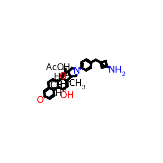 CC(=O)OCC(=O)[C@@]12CN(c3ccc(CC45CC(N)(C4)C5)cc3)C[C@@H]1C[C@H]1[C@@H]3CCC4=CC(=O)C=C[C@]4(C)[C@H]3[C@@H](O)C[C@@]12C